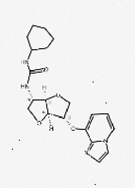 O=C(NC1CCCCC1)N[C@H]1CO[C@H]2[C@@H]1OC[C@@H]2Oc1cccn2ccnc12